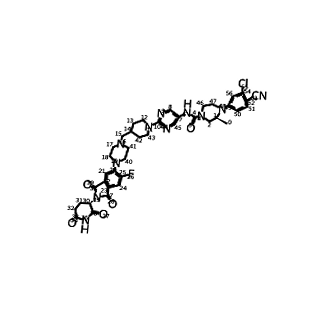 C[C@H]1CN(C(=O)Nc2cnc(N3CCC(CN4CCN(c5cc6c(cc5F)C(=O)N([C@H]5CCC(=O)NC5=O)C6=O)CC4)CC3)nc2)CCN1c1ccc(C#N)c(Cl)c1